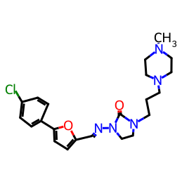 CN1CCN(CCCN2CCN(/N=C/c3ccc(-c4ccc(Cl)cc4)o3)C2=O)CC1